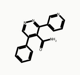 NC(=O)c1c(-c2ccccc2)cnnc1-c1cccnc1